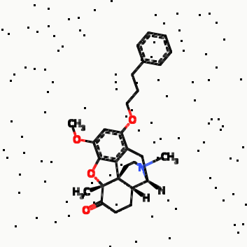 COc1cc(OCCCc2ccccc2)c2c3c1O[C@@]1(C)C(=O)CC[C@H]4[C@@H](C2)N(C)CC[C@@]341